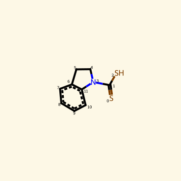 S=C(S)N1CCc2ccccc21